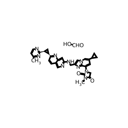 Cc1ccnc([C@H]2C[C@@H]2c2ccc3cnc(NCc4cn5cc(C6CC6)cc(N6CC(=O)N(C)C6=O)c5n4)cc3n2)n1.O=CO